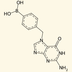 Nc1nc2ncn(Cc3ccc(B(O)O)cc3)c2c(=O)[nH]1